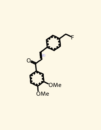 COc1ccc(C(=O)/C=C/c2ccc(CF)cc2)cc1OC